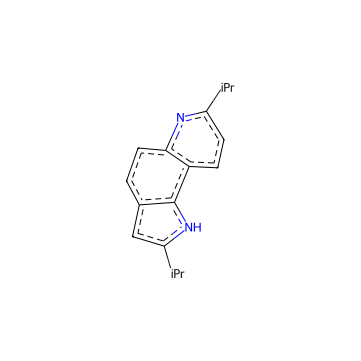 CC(C)c1ccc2c(ccc3cc(C(C)C)[nH]c32)n1